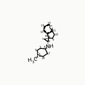 CN1CCC(N[C@@H]2C[C@@]23CCc2ccccc23)CC1